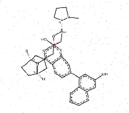 CN1CCC[C@H]1COc1nc(N2[C@@H]3CC[C@H]2CN(CC(O)CO)C3)c2ccc(-c3cc(O)cc4ccccc34)cc2n1